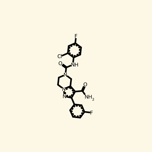 NC(=O)c1c(-c2cccc(F)c2)nn2c1CN(C(=O)Nc1ccc(F)cc1Cl)CC2